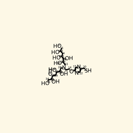 OC[C@@H](O)C[C@@H](O)[C@H](O)[C@@H](O)CN(CCOc1cnc(CS)cn1)C[C@H](O)[C@@H](O)C=C(O)[C@H](O)CO